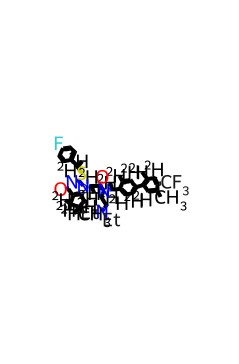 [2H]c1c([2H])c(C([2H])([2H])N(CCN(CC)CC)C(=O)C([2H])([2H])n2c(SC([2H])([2H])c3ccc(F)cc3)nc(=O)c3c2C([2H])([2H])C([2H])(C)C3([2H])[2H])c([2H])c([2H])c1-c1c([2H])c([2H])c(C(F)(F)F)c(C)c1[2H]